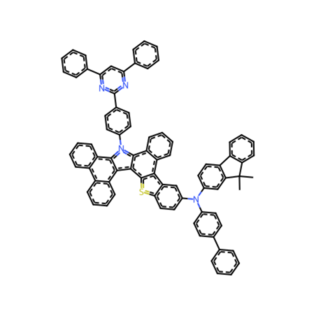 CC1(C)c2ccccc2-c2ccc(N(c3ccc(-c4ccccc4)cc3)c3ccc4sc5c(c4c3)c3ccccc3c3c5c4c5ccccc5c5ccccc5c4n3-c3ccc(-c4nc(-c5ccccc5)cc(-c5ccccc5)n4)cc3)cc21